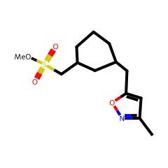 COS(=O)(=O)CC1CCCC(Cc2cc(C)no2)C1